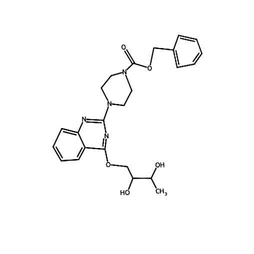 CC(O)C(O)COc1nc(N2CCN(C(=O)OCc3ccccc3)CC2)nc2ccccc12